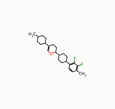 Cc1ccc(C2CCC(C3CCC(C4CCC(C)CC4)=CO3)CC2)c(F)c1F